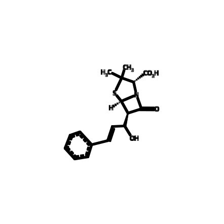 CC1(C)S[C@@H]2[C@H](C(O)C=Cc3ccccc3)C(=O)N2[C@H]1C(=O)O